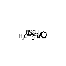 CC1=NOC(C)(C(=O)ON=C2CCCCCC2)C1